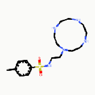 Cc1ccc(S(=O)(=O)NCCN2CCNCCNCCNCC2)cc1